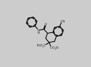 CCOC(=O)C1(C(=O)OCC)Cc2ccc(C#N)cc2C(C(=O)Nc2ccccc2)C1